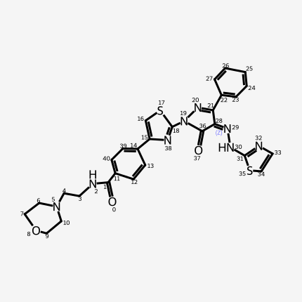 O=C(NCCN1CCOCC1)c1ccc(-c2csc(N3N=C(c4ccccc4)/C(=N/Nc4nccs4)C3=O)n2)cc1